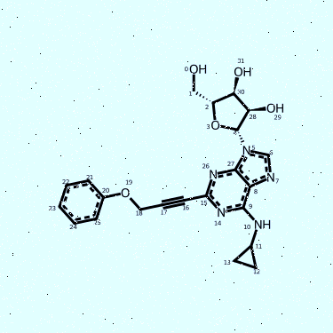 OC[C@H]1O[C@@H](n2cnc3c(NC4CC4)nc(C#CCOc4ccccc4)nc32)[C@H](O)[C@@H]1O